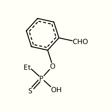 CCP(O)(=S)Oc1ccccc1C=O